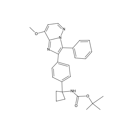 COc1ccnn2c(-c3ccccc3)c(-c3ccc(C4(NC(=O)OC(C)(C)C)CCC4)cc3)nc12